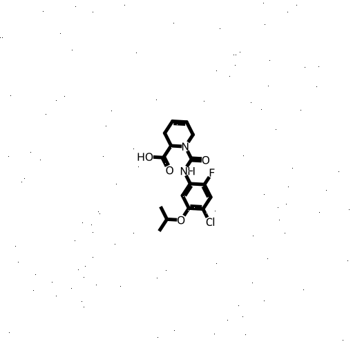 CC(C)Oc1cc(NC(=O)N2CC=CCC2C(=O)O)c(F)cc1Cl